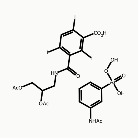 CC(=O)Nc1cccc([As](=O)(O)OO)c1.CC(=O)OCC(CNC(=O)c1c(I)cc(I)c(C(=O)O)c1I)OC(C)=O